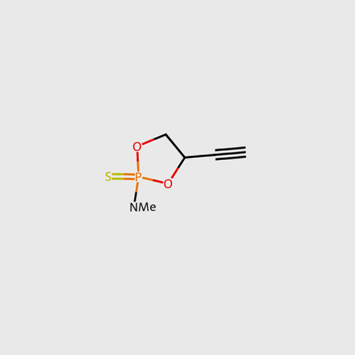 C#CC1COP(=S)(NC)O1